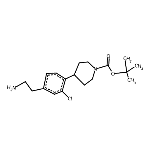 CC(C)(C)OC(=O)N1CCC(c2ccc(CCN)cc2Cl)CC1